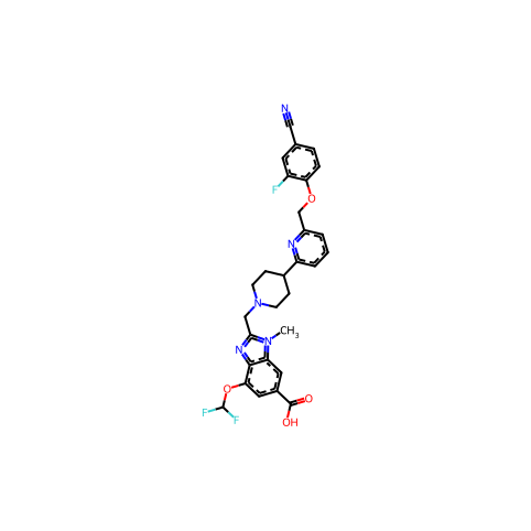 Cn1c(CN2CCC(c3cccc(COc4ccc(C#N)cc4F)n3)CC2)nc2c(OC(F)F)cc(C(=O)O)cc21